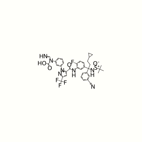 CC(C)(C)[S@@+]([O-])NC(CCC1CC1)(c1cccc(C#N)c1)c1ccc(F)c(NC(=O)c2cc(C(F)(F)F)nn2-c2cccc(N(C=N)C(=O)O)c2)c1